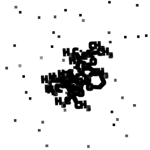 CC[CH][Si]([Si](C)(C)O[Si](C)(C)C)([Si](C)(C)O[Si](C)(C)C)[Si]1(C(O[Si](C)(C)C)O[Si](C)(C)C)CCCCO1